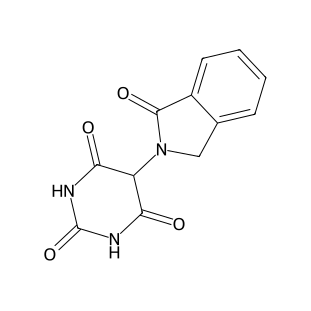 O=C1NC(=O)C(N2Cc3ccccc3C2=O)C(=O)N1